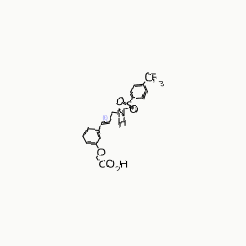 O=C(O)COc1cccc(/C=C/CNS(=O)(=O)c2ccc(C(F)(F)F)cc2)c1